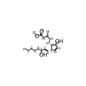 CCCCCC(O)/C=C/[C@H]1C=C[C@@H](O)[C@H]1CCC(C)CC(=O)OC